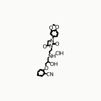 Cl.N#Cc1ccccc1OCC(O)CNCCN1C(=O)CN(c2ccc3c(c2)OCO3)C1=O